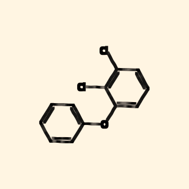 Clc1cccc(Oc2ccccc2)c1Cl